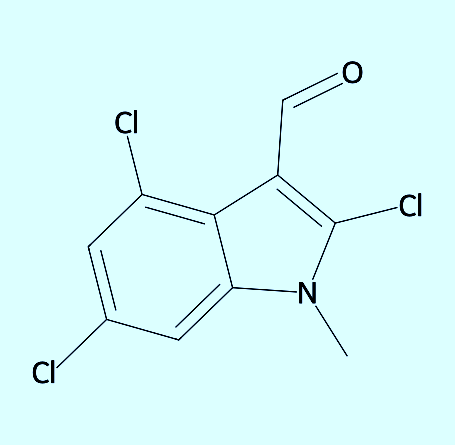 Cn1c(Cl)c(C=O)c2c(Cl)cc(Cl)cc21